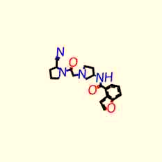 N#CC1CCCN1C(=O)CN1CC[C@H](NC(=O)c2cccc3occc23)C1